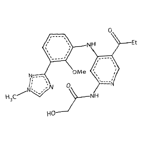 CCC(=O)c1cnc(NC(=O)CO)cc1Nc1cccc(-c2ncn(C)n2)c1OC